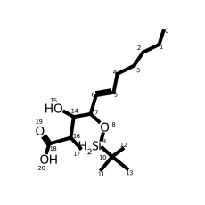 CCCCCC=CC(O[SiH2]C(C)(C)C)C(O)C(C)C(=O)O